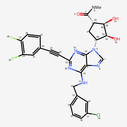 CNC(=O)[C@H]1C[C@@H](n2cnc3c(NCc4cccc(Cl)c4)nc(C#Cc4ccc(F)c(F)c4)nc32)[C@H](O)[C@@H]1O